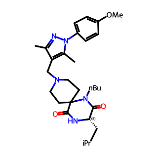 CCCCN1C(=O)[C@H](CC(C)C)NC(=O)C12CCN(Cc1c(C)nn(-c3ccc(OC)cc3)c1C)CC2